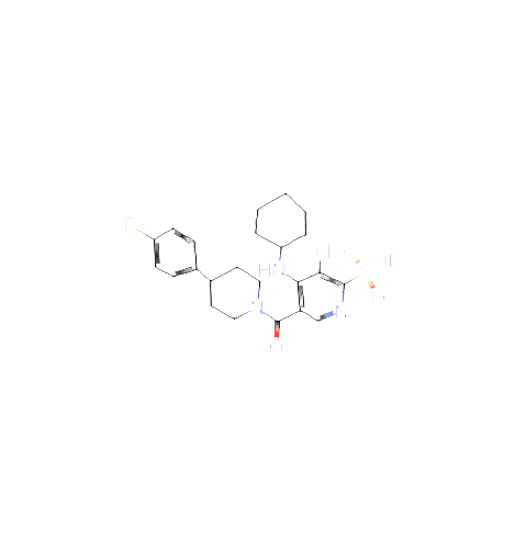 O=C(c1cnc(S(=O)(=O)O)c(Cl)c1NC1CCCCC1)N1CCC(c2ccc(F)cc2)CC1